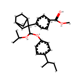 CCC(C)c1ccc(OC(OC(C)C)C2(c3ccc(C(=O)OC)cc3)CC3CCC2C3)cc1